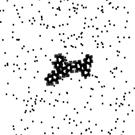 c1ccc(-n2c3ccccc3c3cc(-c4ccc5c(ccc6c5c5c7ccccc7ccc5n6-c5ccc6ccccc6c5)c4)ccc32)cc1